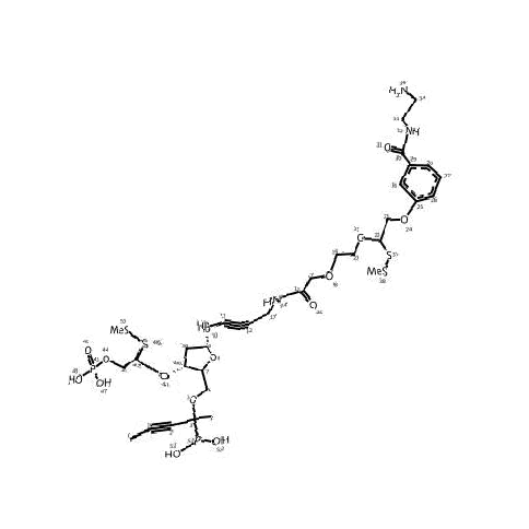 CC#CC(C)(OCC1O[C@@H](BC#CCNC(=O)COCCOC(COc2cccc(C(=O)NCCN)c2)SSC)C[C@H]1O[C@@H](COP(=O)(O)O)SSC)P(O)O